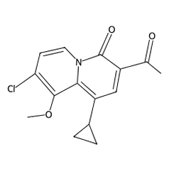 COc1c(Cl)ccn2c(=O)c(C(C)=O)cc(C3CC3)c12